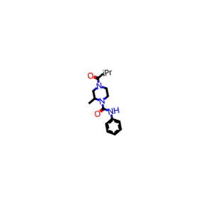 CC(C)C(=O)N1CCN(C(=O)Nc2ccccc2)C(C)C1